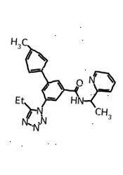 CCc1nnnn1-c1cc(C(=O)NC(C)c2ccccn2)cc(-c2ccc(C)cc2)c1